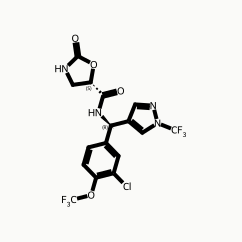 O=C1NC[C@@H](C(=O)N[C@H](c2ccc(OC(F)(F)F)c(Cl)c2)c2cnn(C(F)(F)F)c2)O1